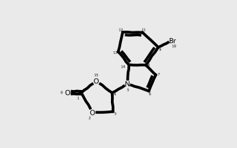 O=C1OCC(n2ccc3c(Br)cccc32)O1